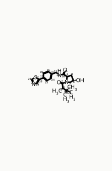 CC(C(=O)N1C[C@H](O)CC1C(=O)NCc1ccc(-c2cncs2)cc1)C(C)(C)C